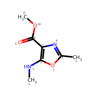 CNc1oc(C)nc1C(=O)OC